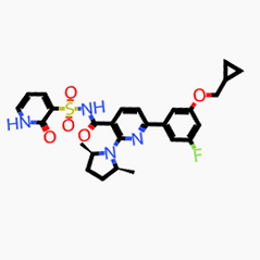 C[C@@H]1CC[C@H](C)N1c1nc(-c2cc(F)cc(OCC3CC3)c2)ccc1C(=O)NS(=O)(=O)c1ccc[nH]c1=O